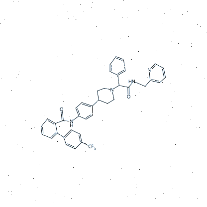 O=C(Nc1ccc(C2CCN(C(C(=O)NCc3ccccn3)c3ccccc3)CC2)cc1)c1ccccc1-c1ccc(C(F)(F)F)cc1